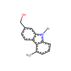 CCn1c2cc(CO)ccc2c2c(C)cccc21